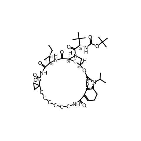 CC[C@@H]1C[C@@]12NC(=O)[C@@H]1C[C@H](CN1C(=O)[C@@H](NC(=O)OC(C)(C)C)C(C)(C)C)Oc1nc3c(n1C(C)C)CCC=C3C(=O)NCCCCCCC1(CC1)S(=O)(=O)NC2=O